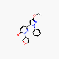 COc1cc(-c2ccc(=O)n(C3CCOC3)n2)n(-c2ccccc2)n1